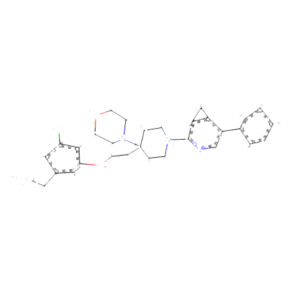 O=C(O)Cc1cc(Cl)cc(OCCC2(N3CCOCC3)CCN(c3ncc(-c4ccccc4)c4c3C4)CC2)c1